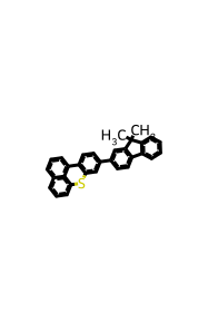 CC1(C)c2ccccc2-c2ccc(-c3ccc4c(c3)Sc3cccc5cccc-4c35)cc21